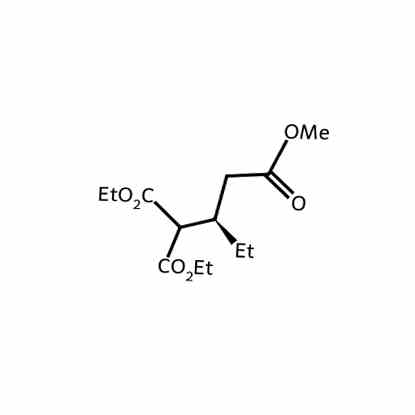 CCOC(=O)C(C(=O)OCC)[C@H](CC)CC(=O)OC